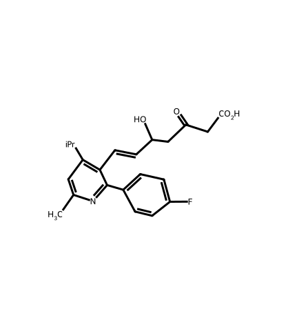 Cc1cc(C(C)C)c(C=CC(O)CC(=O)CC(=O)O)c(-c2ccc(F)cc2)n1